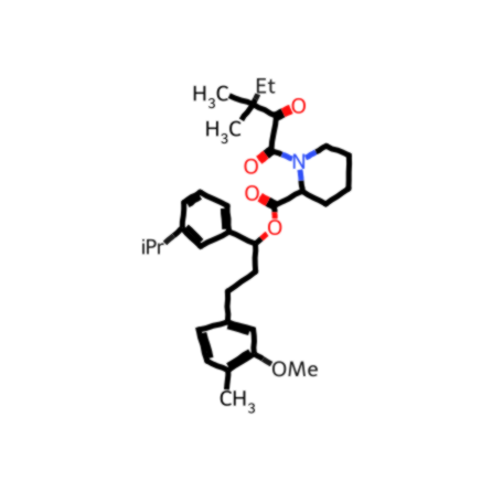 CCC(C)(C)C(=O)C(=O)N1CCCCC1C(=O)OC(CCc1ccc(C)c(OC)c1)c1cccc(C(C)C)c1